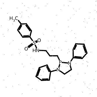 Cc1ccc(S(=O)(=O)NCCCP2N(c3ccccc3)CCN2c2ccccc2)cc1